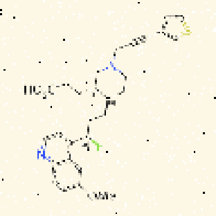 COc1ccc2nccc([C@H](F)CC[C@@H]3CCN(CC#Cc4ccsc4)C[C@H]3CCC(=O)O)c2c1